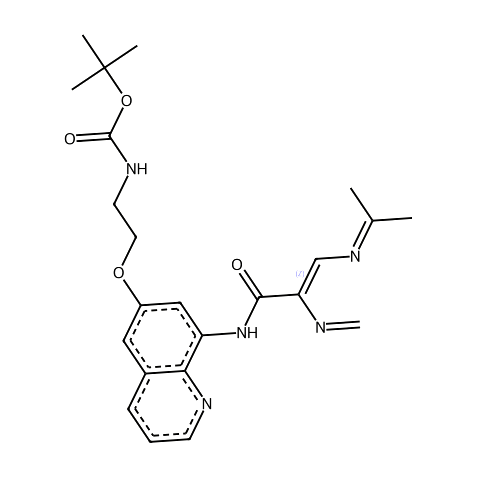 C=N/C(=C\N=C(C)C)C(=O)Nc1cc(OCCNC(=O)OC(C)(C)C)cc2cccnc12